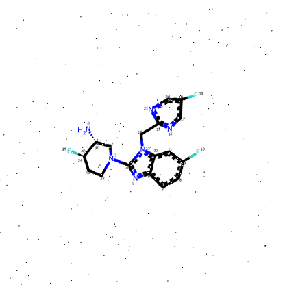 N[C@@H]1CN(c2nc3ccc(F)cc3n2Cc2ncc(F)cn2)CC[C@H]1F